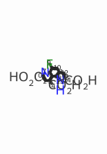 O=C(O)c1cc(C(=O)O)c2c(n1)c(F)cc1cc(C(=O)O)[nH]c12